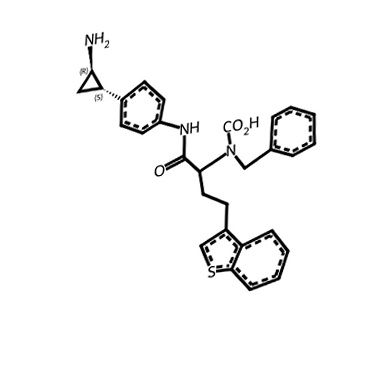 N[C@@H]1C[C@H]1c1ccc(NC(=O)C(CCc2csc3ccccc23)N(Cc2ccccc2)C(=O)O)cc1